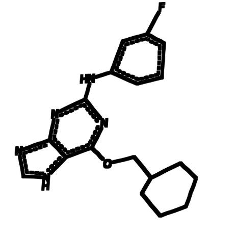 Fc1cccc(Nc2nc(OCC3CCCCC3)c3[nH]cnc3n2)c1